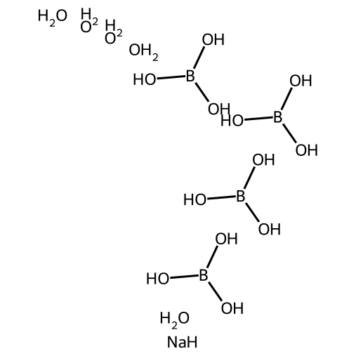 O.O.O.O.O.OB(O)O.OB(O)O.OB(O)O.OB(O)O.[NaH]